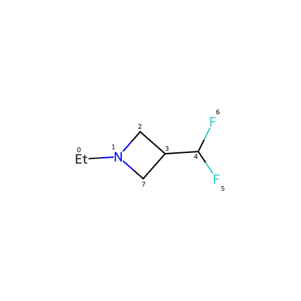 CCN1CC(C(F)F)C1